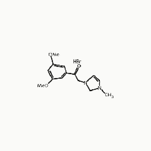 Br.COc1cc(OC)cc(C(=O)CN2C=CN(C)C2)c1